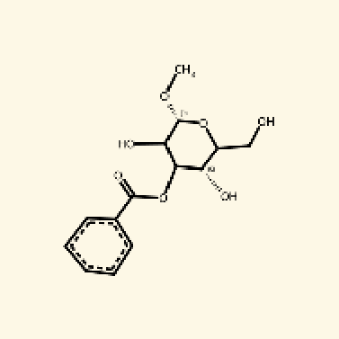 CO[C@@H]1OC(CO)[C@H](O)C(OC(=O)c2ccccc2)C1O